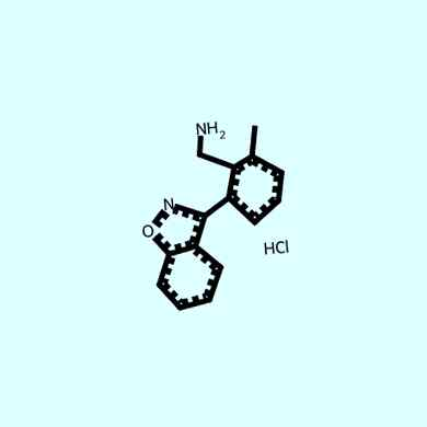 Cc1cccc(-c2noc3ccccc23)c1CN.Cl